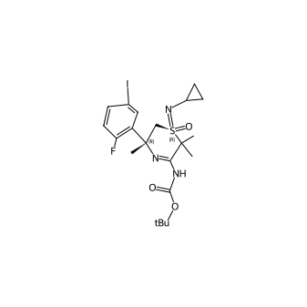 CC(C)(C)OC(=O)NC1=N[C@](C)(c2cc(I)ccc2F)C[S@](=O)(=NC2CC2)C1(C)C